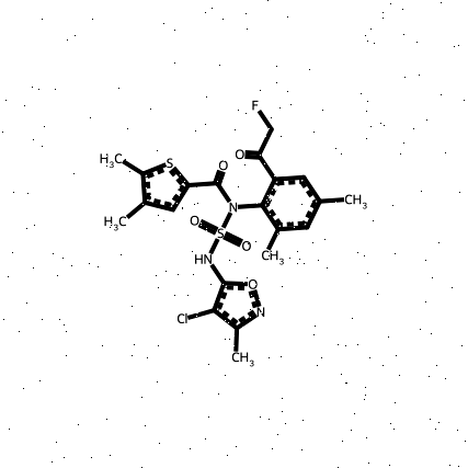 Cc1cc(C)c(N(C(=O)c2cc(C)c(C)s2)S(=O)(=O)Nc2onc(C)c2Cl)c(C(=O)CF)c1